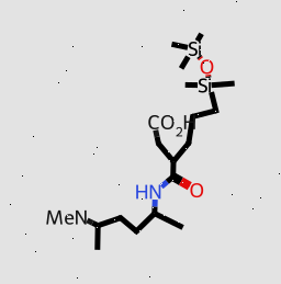 CNC(C)CCC(C)NC(=O)C(CCC[Si](C)(C)O[Si](C)(C)C)CC(=O)O